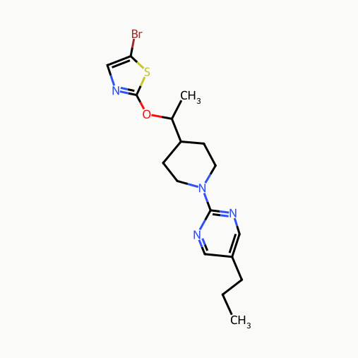 CCCc1cnc(N2CCC(C(C)Oc3ncc(Br)s3)CC2)nc1